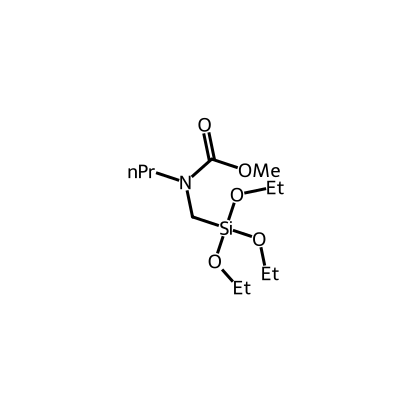 CCCN(C[Si](OCC)(OCC)OCC)C(=O)OC